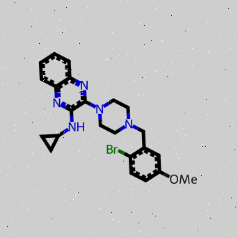 COc1ccc(Br)c(CN2CCN(c3nc4ccccc4nc3NC3CC3)CC2)c1